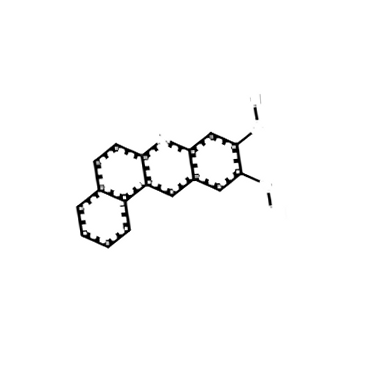 COc1cc2cc3c(ccc4ccccc43)nc2cc1OC